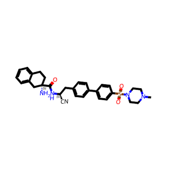 CN1CCN(S(=O)(=O)c2ccc(-c3ccc(C[C@@H](C#N)NC(=O)[C@]4(N)CCc5ccccc5C4)cc3)cc2)CC1